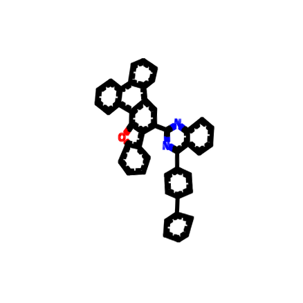 c1ccc(-c2ccc(-c3nc(-c4cc5c6ccccc6c6ccccc6c5c5oc6ccccc6c45)nc4ccccc34)cc2)cc1